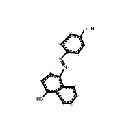 O=C(O)c1ccc(N=Nc2ccc(O)c3ccccc23)cc1